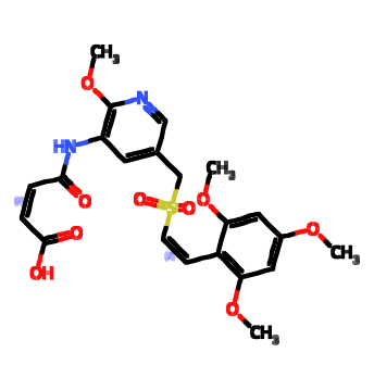 COc1cc(OC)c(/C=C\S(=O)(=O)Cc2cnc(OC)c(NC(=O)/C=C\C(=O)O)c2)c(OC)c1